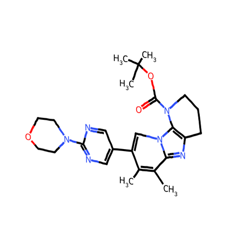 Cc1c(-c2cnc(N3CCOCC3)nc2)cn2c3c(nc2c1C)CCCN3C(=O)OC(C)(C)C